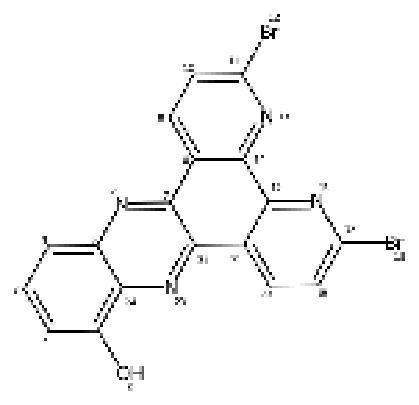 Oc1cccc2nc3c4ccc(Br)nc4c4nc(Br)ccc4c3nc12